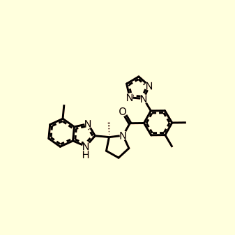 Cc1cc(C(=O)N2CCC[C@@]2(C)c2nc3c(C)cccc3[nH]2)c(-n2nccn2)cc1C